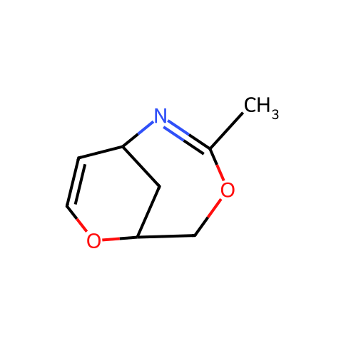 CC1=NC2C=COC(CO1)C2